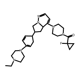 CCN1CCN(C2=CCC(C3CC4C(N5CCN(C(=O)C6(F)CC6)CC5)=CC=NN4C3)C=C2)CC1